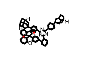 c1ccc2c(c1)Oc1cc(-c3ccccc3-c3nc(-c4ccc(C56CC7CC[C@@H](C5)C7C6)cc4)nc(-c4ccc(C56C[C@H]7CC8C[C@@H](C5)C87C6)cc4)n3)ccc1C21c2ccccc2-c2ccccc21